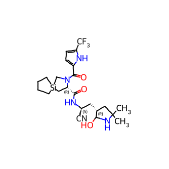 CC1(C)C[C@@H](C[C@@H](C#N)NC(=O)[C@@H]2C[Si]3(CCCC3)CN2C(=O)c2ccc(C(F)(F)F)[nH]2)C(O)N1